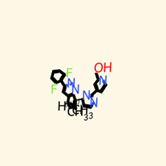 CC1(C)[C@H]2CC[C@@]1(c1ccnc(-c3ccnc(CO)c3)n1)c1nnc(-c3c(F)cccc3F)cc12